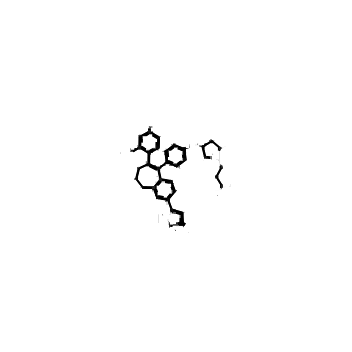 O=c1cc(-c2ccc3c(c2)CCCC(c2ccc(Cl)cc2Cl)=C3c2ccc(O[C@H]3CCN(CCCF)C3)cc2)[nH][nH]1